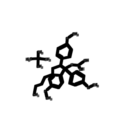 CCCCCCC(c1ccc(OC)cc1)C(OB(O)O)(c1ccc(OC)cc1)c1ccc(OC)cc1.C[N+](C)(C)C